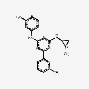 C[C@H]1CC1Nc1nc(Nc2ccnc(C(F)(F)F)c2)nc(-c2cccc(C(F)(F)F)n2)n1